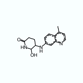 Cc1ccnc2cc(NC3CCC(=O)NC3O)ccc12